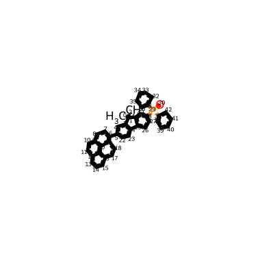 CC1(C)c2cc(-c3ccc4ccc5cccc6ccc3c4c56)ccc2-c2ccc(P(=O)(c3ccccc3)c3ccccc3)cc21